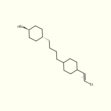 CC/C=C/C1CCC(CCCC[C@H]2CC[C@H](CCCC)CC2)CC1